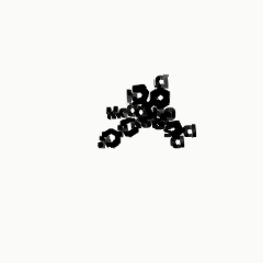 COc1ncccc1C1(OC(=O)N2CCN(C3CCN(C)CC3)CC2)C(=O)N(S(=O)(=O)c2cc(Cl)c(Cl)s2)c2ccc(Cl)cc21